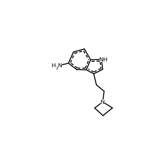 Nc1ccc2[nH]cc(CCN3CCC3)c2c1